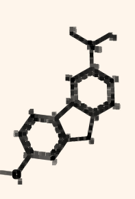 COc1ccc2c(c1)Cc1ccc(N(C)C)cc1-2